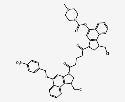 CN1CCN(C(=O)Oc2cc3c(c4ccccc24)C(CCl)CN3C(=O)CCCC(=O)N2C[C@@H](CCl)c3c2cc(OCc2ccc([N+](=O)[O-])cc2)c2ccccc32)CC1